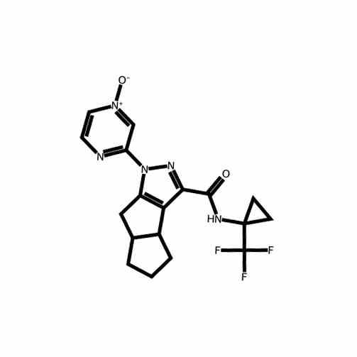 O=C(NC1(C(F)(F)F)CC1)c1nn(-c2c[n+]([O-])ccn2)c2c1C1CCCC1C2